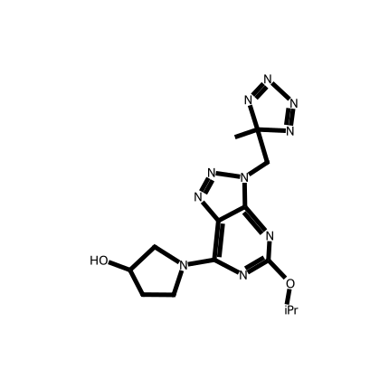 CC(C)Oc1nc(N2CCC(O)C2)c2nnn(CC3(C)N=NN=N3)c2n1